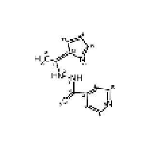 CC(NNC(=O)c1ccncc1)=C1C=CC=N1